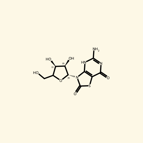 Nc1nc(=O)c2sc(=O)n([C@@H]3OC(CO)[C@@H](O)[C@H]3O)c2[nH]1